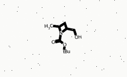 CC1CC(CO)N1C(=O)OC(C)(C)C